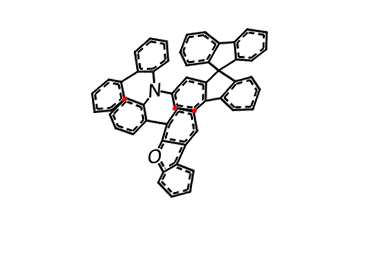 c1ccc(-c2ccccc2N(c2ccc3c(c2)C2(c4ccccc4-c4ccccc42)c2ccccc2-3)c2ccccc2-c2cccc3c2oc2ccccc23)cc1